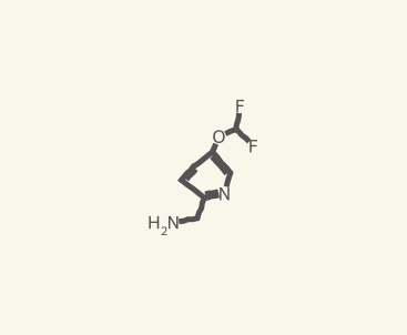 NCc1ccc(OC(F)F)cn1